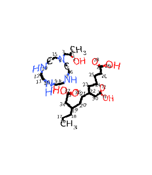 CC(O)CN1CCNCCNCCNCC1.CCCC(CCC(CCCCC(=O)O)CC(=O)O)CC(=O)O